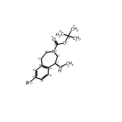 CNC1CN(C(=O)OC(C)(C)C)CCc2cc(Br)ccc21